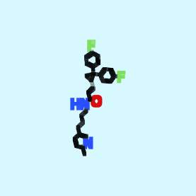 Cc1ccc(CCCCNC(=O)/C=C/[C@@H]2CC2(c2ccc(F)cc2)c2ccc(F)cc2)cn1